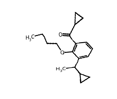 CCCCOc1c(C(=O)C2CC2)cccc1C(C)C1CC1